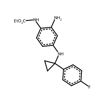 CCOC(=O)Nc1ccc(NC2(c3ccc(F)cc3)CC2)cc1N